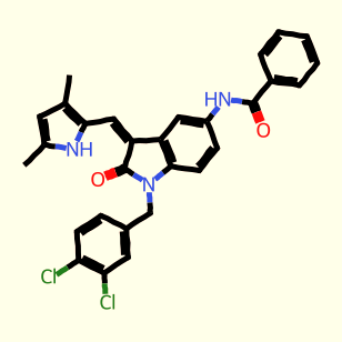 Cc1cc(C)c(/C=C2\C(=O)N(Cc3ccc(Cl)c(Cl)c3)c3ccc(NC(=O)c4ccccc4)cc32)[nH]1